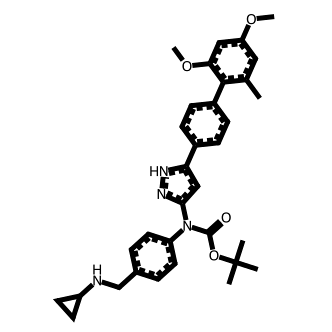 COc1cc(C)c(-c2ccc(-c3cc(N(C(=O)OC(C)(C)C)c4ccc(CNC5CC5)cc4)n[nH]3)cc2)c(OC)c1